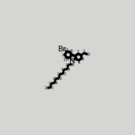 C=Cc1ccc2c(c1)c1cc(Br)ccc1n2CCCCCCCCCCCC